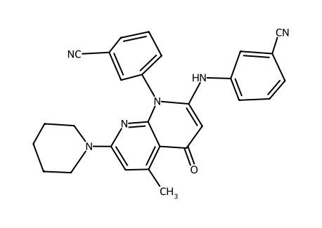 Cc1cc(N2CCCCC2)nc2c1c(=O)cc(Nc1cccc(C#N)c1)n2-c1cccc(C#N)c1